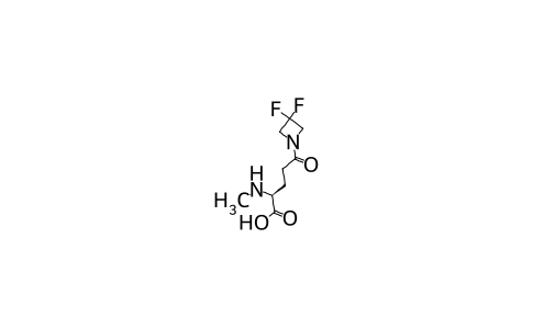 CN[C@@H](CCC(=O)N1CC(F)(F)C1)C(=O)O